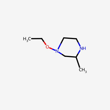 CCON1CCNC(C)C1